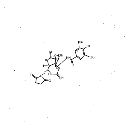 CC(C)(C)c1cc(C(=O)NC2CN3C(=N)NC(CN4C(=O)CCC4=O)[C@@H]4NC(=N)N[C@@]43C2(O)O)cc(C(C)(C)C)c1O